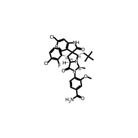 COc1cc(C(N)=O)ccc1N1C(=O)[C@H]2[C@H](c3cccc(Cl)c3F)C3(C(=O)Nc4cc(Cl)ncc43)[C@H](CC(C)(C)C)N2[C@H]1C